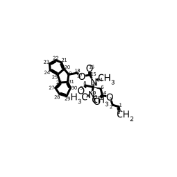 C=CCOC(=O)C[C@](C=O)(N(C)C)N(C)C(=O)OCC1c2ccccc2-c2ccccc21